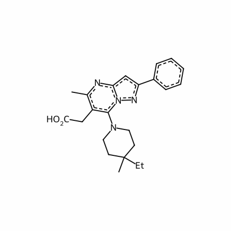 CCC1(C)CCN(c2c(CC(=O)O)c(C)nc3cc(-c4ccccc4)nn23)CC1